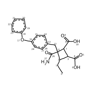 CCC1C(C(=O)O)C(C(=O)O)C1(Cc1ccc(Oc2ccccc2)cc1)C(N)=O